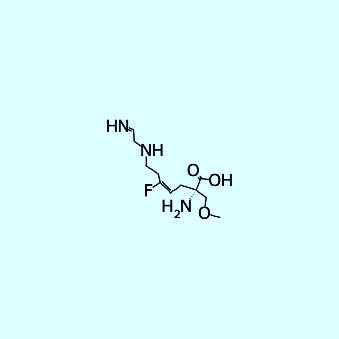 COC[C@@](N)(C/C=C(/F)CCNCC=N)C(=O)O